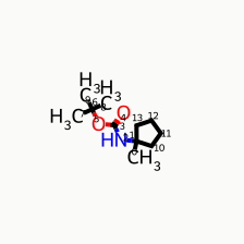 CC1(NC(=O)OC(C)(C)C)CCCC1